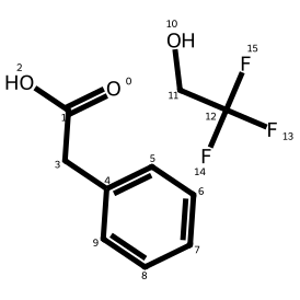 O=C(O)Cc1ccccc1.OCC(F)(F)F